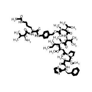 CC[C@H](C)[C@@H]([C@@H](CC(=O)N1CCC[C@H]1[C@H](OC)[C@@H](C)C(=O)N[C@@H](Cc1ccccc1)c1nccs1)OC)N(C)C(=O)[C@@H](NC(=O)[C@H](C(C)C)N(C)C(=O)OCc1ccc(NC(=O)[C@H](CCCNC(N)=O)NC(=O)[C@@H](N)C(C)C)cc1)C(C)C